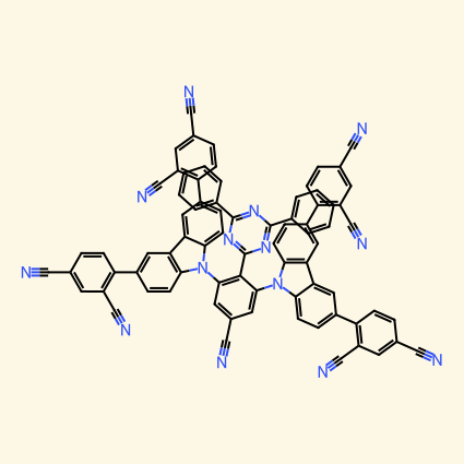 N#Cc1ccc(-c2ccc3c(c2)c2cc(-c4ccc(C#N)cc4C#N)ccc2n3-c2cc(C#N)cc(-n3c4ccc(-c5ccc(C#N)cc5C#N)cc4c4cc(-c5ccc(C#N)cc5C#N)ccc43)c2-c2nc(-c3ccccc3)nc(-c3ccccc3)n2)c(C#N)c1